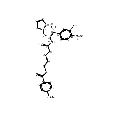 COc1ccc(C(=O)CCCCCC(=O)N[C@H](CN2CCCC2)[C@H](O)c2ccc(OC)c(Cl)c2)cc1